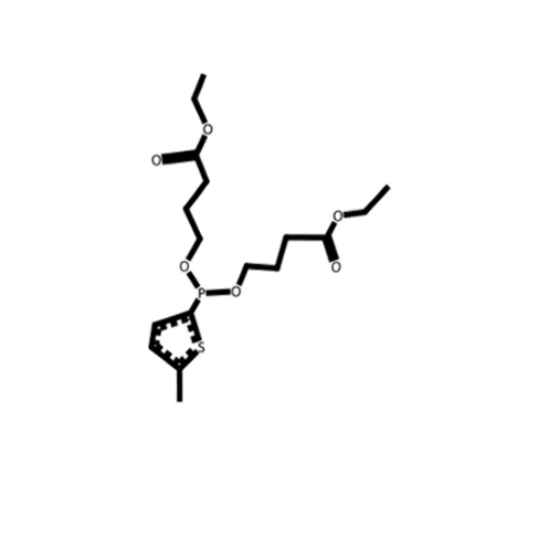 CCOC(=O)CCCOP(OCCCC(=O)OCC)c1ccc(C)s1